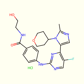 Cc1ncc(-c2nc(Nc3ccc(C(=O)NCCO)cc3)ncc2F)n1C1CCOCC1.Cl